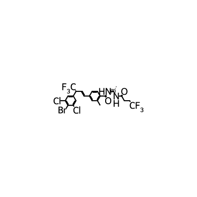 Cc1cc(C=CC(c2cc(Cl)c(Br)c(Cl)c2)C(F)(F)F)ccc1C(=O)N[C@H](C)NC(=O)CCC(F)(F)F